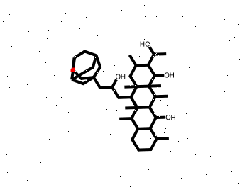 CC(O)C1C(C)CC2(C)C(CC(O)CC34CCC5CC(CC(C5)C3)C4)C3(C)C(C)C4CCCC(C)C4C(O)C3C(C)C2(C)C1O